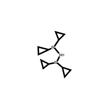 C1C[CH]1[Bi]([NH][Bi]([CH]1CC1)[CH]1CC1)[CH]1CC1